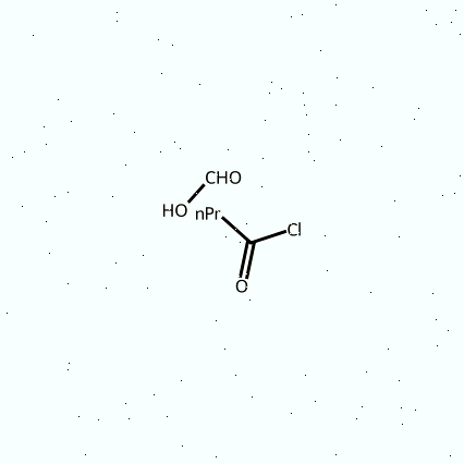 CCCC(=O)Cl.O=CO